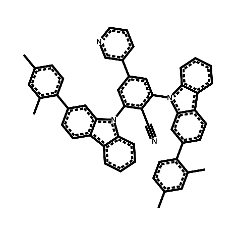 Cc1ccc(-c2ccc3c4ccccc4n(-c4cc(-c5cccnc5)cc(-n5c6ccccc6c6ccc(-c7ccc(C)cc7C)cc65)c4C#N)c3c2)c(C)c1